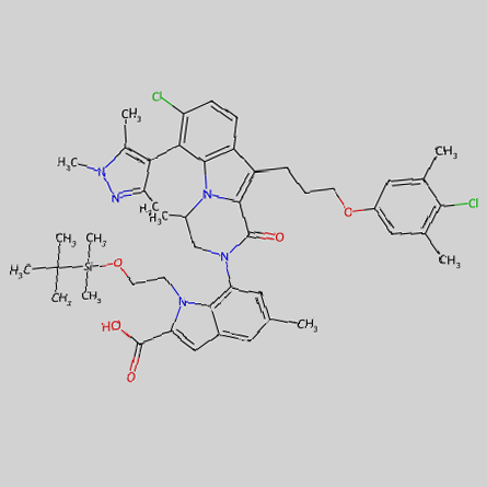 Cc1cc(N2CC(C)n3c(c(CCCOc4cc(C)c(Cl)c(C)c4)c4ccc(Cl)c(-c5c(C)nn(C)c5C)c43)C2=O)c2c(c1)cc(C(=O)O)n2CCO[Si](C)(C)C(C)(C)C